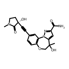 CN1CC[C@@](O)(C#Cc2ccc3c(c2)-n2nc(C(N)=O)cc2C(C)(O)CO3)C1=O